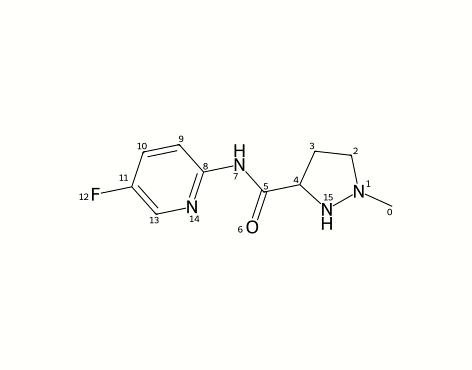 CN1CCC(C(=O)Nc2ccc(F)cn2)N1